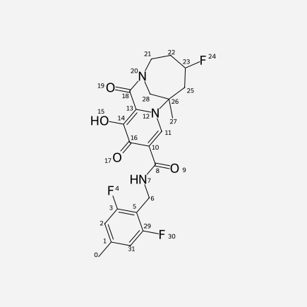 Cc1cc(F)c(CNC(=O)c2cn3c(c(O)c2=O)C(=O)N2CCC(F)CC3(C)C2)c(F)c1